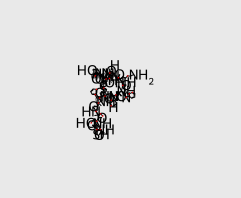 CCC(C)(NCC(=O)C(C)(C)N[C@H](Cc1ccccc1)C(=O)NC1CSCSC2[C@H](O)C(NC(=O)C(CCCCN)NC(=O)C(CC3=c4ccccc4=NC3)NC(=O)C(Cc3ccccc3)NC1=O)C(=O)N[C@@H]2C(=O)NC(CO)[C@@H](C)O)C(=O)C(CO)NC(=O)C(CS)NC(C)=O